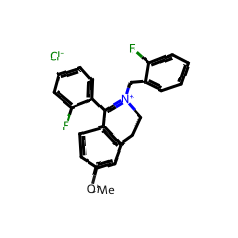 COc1ccc2c(c1)CC[N+](Cc1ccccc1F)=C2c1ccccc1F.[Cl-]